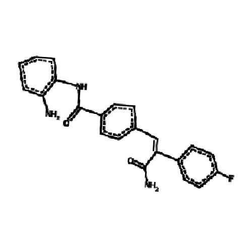 NC(=O)C(=Cc1ccc(C(=O)Nc2ccccc2N)cc1)c1ccc(F)cc1